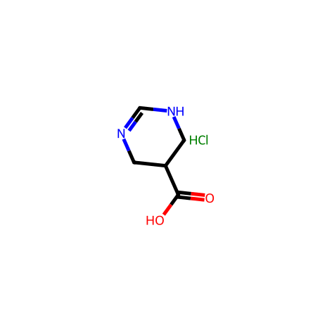 Cl.O=C(O)C1CN=CNC1